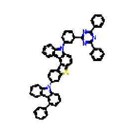 c1ccc(-c2nc(-c3ccccc3)nc(-c3cccc(-n4c5ccccc5c5c6c(ccc54)sc4cc(-n5c7ccccc7c7c(-c8ccccc8)cccc75)ccc46)c3)n2)cc1